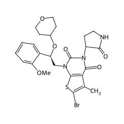 COc1ccccc1[C@H](Cn1c(=O)n(C2CCNC2=O)c(=O)c2c(C)c(Br)sc21)OC1CCOCC1